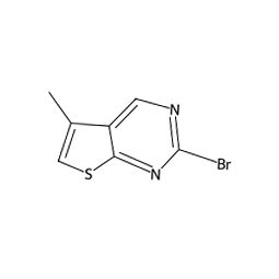 Cc1csc2nc(Br)ncc12